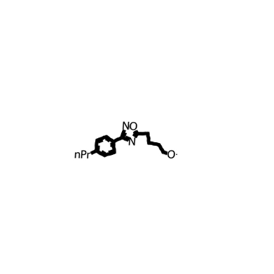 CCCc1ccc(-c2noc(CCCC[O])n2)cc1